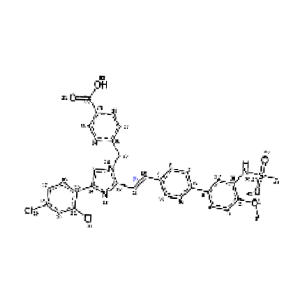 COc1ccc(-c2ccc(/C=C/c3nc(-c4ccc(Cl)cc4Cl)cn3Cc3ccc(C(=O)O)cc3)cc2)cc1NS(C)(=O)=O